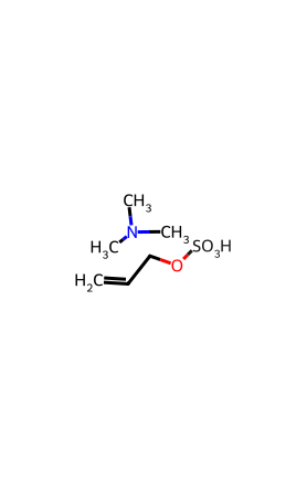 C=CCOS(=O)(=O)O.CN(C)C